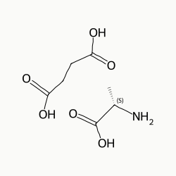 C[C@H](N)C(=O)O.O=C(O)CCC(=O)O